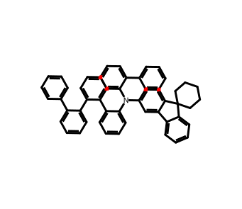 c1ccc(-c2ccccc2-c2ccccc2-c2ccccc2N(c2ccc3c(c2)-c2ccccc2C32CCCCC2)c2ccccc2-c2ccccc2)cc1